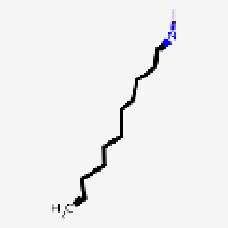 C=CCCCCCCCC/C=N/I